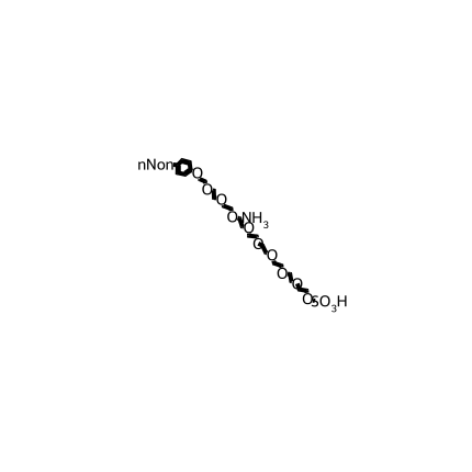 CCCCCCCCCc1ccc(OCCOCCOCCOCCOCCOCCOCCOCCOCCOS(=O)(=O)O)cc1.N